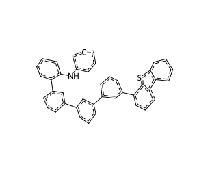 c1ccc(Nc2ccccc2-c2cccc(-c3cccc(-c4cccc(-c5cccc6c5sc5ccccc56)c4)c3)c2)cc1